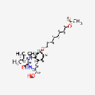 CC(=S)OCCCCCCCCOc1ccc2c(c1)N(C)[C@@H](C(C)C)C(=O)NC(CO)C2